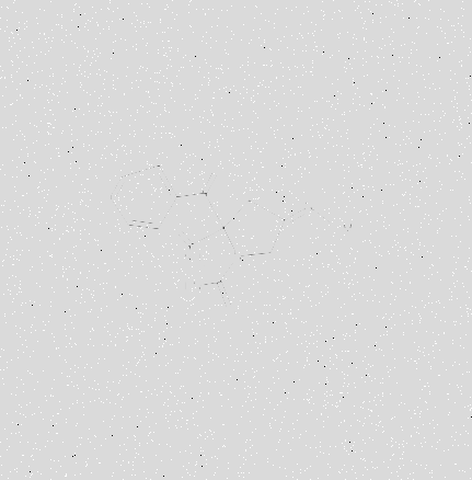 CON=C1CN(C(N)=O)C(C(N)=O)(C(=O)c2ccccc2)C1